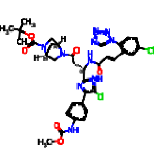 COC(=O)Nc1ccc(-c2nc([C@H](CC(=O)N3C[C@@H]4C[C@H]3CN4C(=O)OC(C)(C)C)NC(=O)C=Cc3cc(Cl)ccc3-n3cnnn3)[nH]c2Cl)cc1